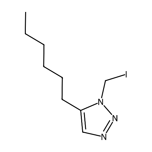 CCCCCCc1cnnn1CI